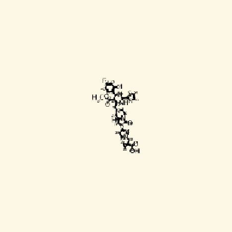 COC(=O)C1=C(CN2CCN3C(=O)N(c4ccn(CC5(C(=O)O)CC5)n4)C[C@@H]3C2)NC(c2nccs2)=NC1c1ccc(F)cc1Cl